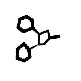 O=C1C[C@H](c2ccccc2)[C@@H](c2ccccc2)C1